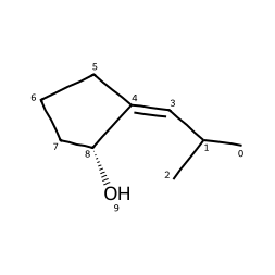 CC(C)C=C1CCC[C@H]1O